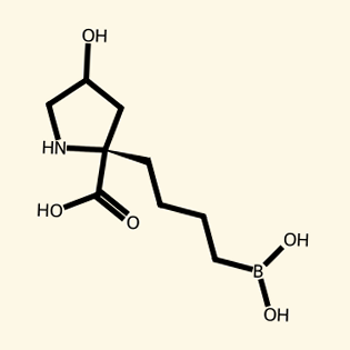 O=C(O)[C@@]1(CCCCB(O)O)CC(O)CN1